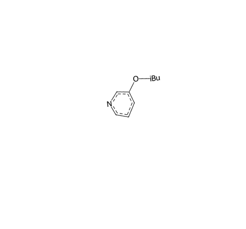 CCC(C)Oc1cccnc1